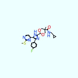 CSc1nccc(-c2[nH]c(C3OCC(C)(C(=O)NCC4CC4)CO3)nc2-c2ccc(F)cc2)n1